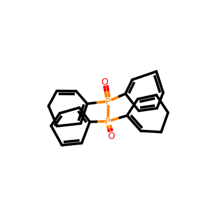 O=P(C1=CCCC=C1)(c1ccccc1)P(=O)(C1=CCCC=C1)c1ccccc1